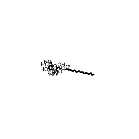 CCCCCCCCCCCCCCC(CO[C@H]1O[C@H](CO)[C@@H](O[C@@H]2O[C@H](CO)[C@H](O)[C@H](O)[C@H]2O)[C@H](O)[C@H]1O)OC